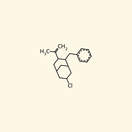 C=C(C)C1CC2CC(Cl)CC(C2)C1Cc1ccccc1